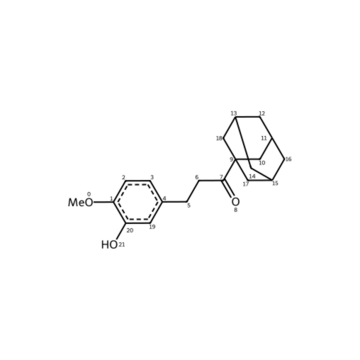 COc1ccc(CCC(=O)C23CC4CC(CC(C4)C2)C3)cc1O